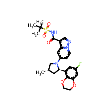 C[C@H]1C[C@H](c2cc(F)cc3c2OCCO3)N(c2ccn3ncc(C(=O)NS(=O)(=O)C(C)(C)C)c3c2)C1